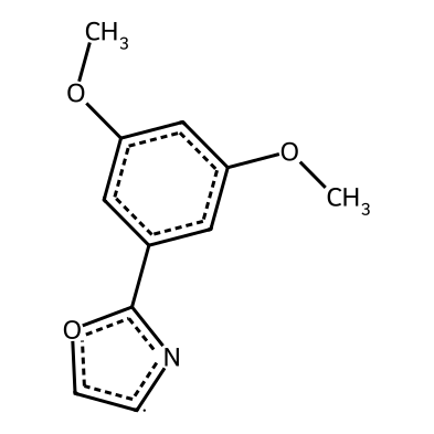 COc1cc(OC)cc(-c2n[c]co2)c1